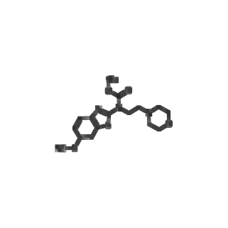 CC(C)(C)OC(=O)N(CCN1CCOCC1)c1nc2ccc(SC#N)cc2s1